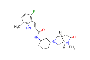 Cc1ccc(F)c2cc(C(=O)N[C@@H]3CCC[C@H](N4C[C@@H]5CC(=O)N(C)[C@@H]5C4)C3)[nH]c12